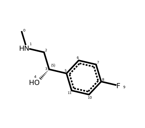 CNC[C@@H](O)c1ccc(F)cc1